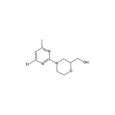 CCc1cc(C)nc(N2CCOC(CO)C2)n1